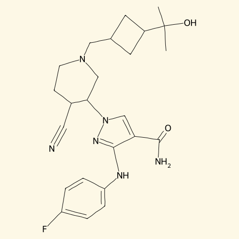 CC(C)(O)C1CC(CN2CCC(C#N)C(n3cc(C(N)=O)c(Nc4ccc(F)cc4)n3)C2)C1